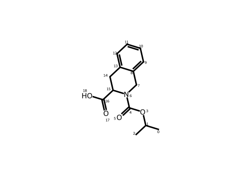 CC(C)OC(=O)N1Cc2ccccc2CC1C(=O)O